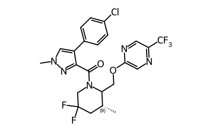 C[C@@H]1CC(F)(F)CN(C(=O)c2nn(C)cc2-c2ccc(Cl)cc2)C1COc1cnc(C(F)(F)F)cn1